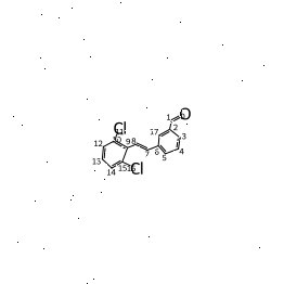 O=Cc1cccc(/C=C/c2c(Cl)cccc2Cl)c1